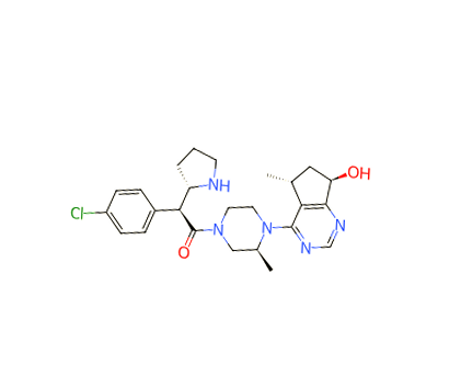 C[C@@H]1C[C@@H](O)c2ncnc(N3CCN(C(=O)[C@@H](c4ccc(Cl)cc4)[C@@H]4CCCN4)C[C@@H]3C)c21